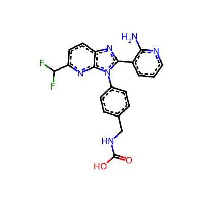 Nc1ncccc1-c1nc2ccc(C(F)F)nc2n1-c1ccc(CNC(=O)O)cc1